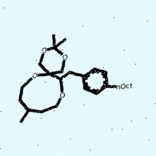 CCCCCCCCc1ccc(CC2OCCC(C)CCOC23COC(C)(C)OC3)cc1